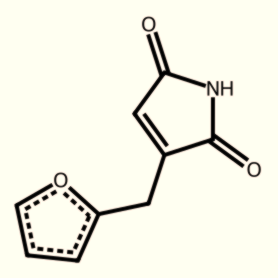 O=C1C=C(Cc2ccco2)C(=O)N1